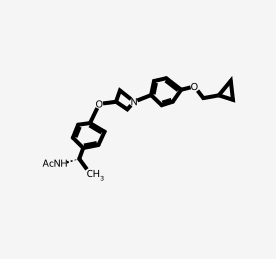 CC(=O)N[C@@H](C)c1ccc(OC2CN(c3ccc(OCC4CC4)cc3)C2)cc1